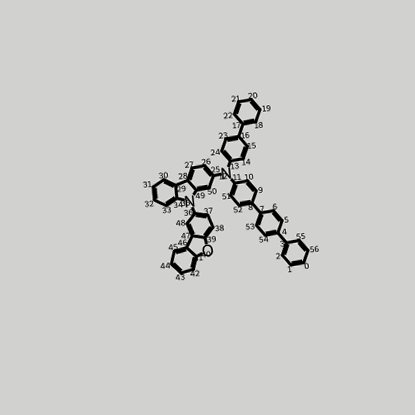 c1ccc(-c2ccc(-c3ccc(N(c4ccc(-c5ccccc5)cc4)c4ccc5c6ccccc6n(-c6ccc7oc8ccccc8c7c6)c5c4)cc3)cc2)cc1